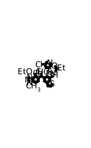 CCOC(=O)CC(c1cc(CN2C[C@@H](CC)Oc3ncc(Cl)cc3S2(O)O)c2sccc2c1)c1ccc2c(nnn2C)c1Cl